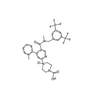 Cc1ccccc1-c1cc([N+]2([O-])CCN(C(=O)O)CC2)ncc1C(=O)N(C)Cc1cc(C(F)(F)F)cc(C(F)(F)F)c1